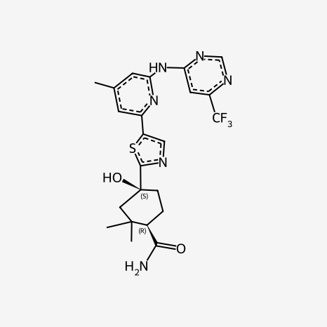 Cc1cc(Nc2cc(C(F)(F)F)ncn2)nc(-c2cnc([C@]3(O)CC[C@@H](C(N)=O)C(C)(C)C3)s2)c1